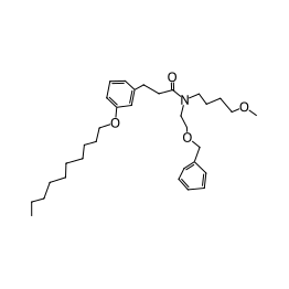 CCCCCCCCCCOc1cccc(CCC(=O)N(CCCCOC)CCOCc2ccccc2)c1